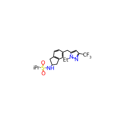 CCn1nc(C(F)(F)F)cc1Cc1ccc2c(c1)C[C@@H](NS(=O)(=O)C(C)C)C2